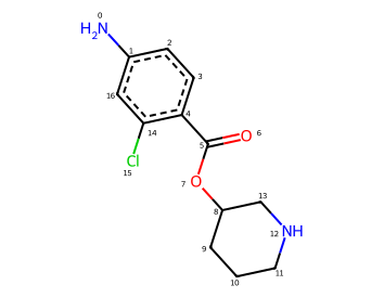 Nc1ccc(C(=O)OC2CCCNC2)c(Cl)c1